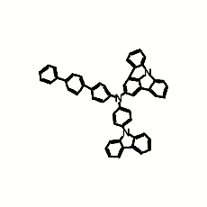 c1ccc(-c2ccc(-c3ccc(N(c4ccc(-n5c6ccccc6c6ccccc65)cc4)c4cc5c6ccccc6n6c7ccccc7c(c4)c56)cc3)cc2)cc1